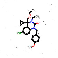 CCOCC1(C2CC2)c2cc(Cl)ccc2N(Cc2ccc(OC)cc2)C(=O)N1CC